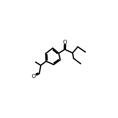 CCC(CC)C(=O)c1ccc(C(C)C=O)cc1